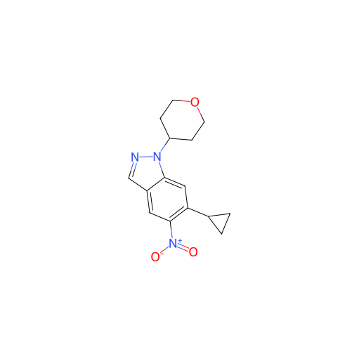 O=[N+]([O-])c1cc2cnn(C3CCOCC3)c2cc1C1CC1